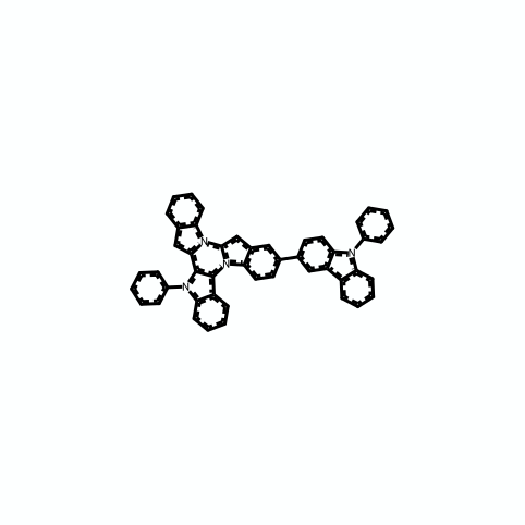 c1ccc(-n2c3ccccc3c3cc(-c4ccc5c(c4)cc4n6c7ccccc7cc6c6c(c7ccccc7n6-c6ccccc6)n54)ccc32)cc1